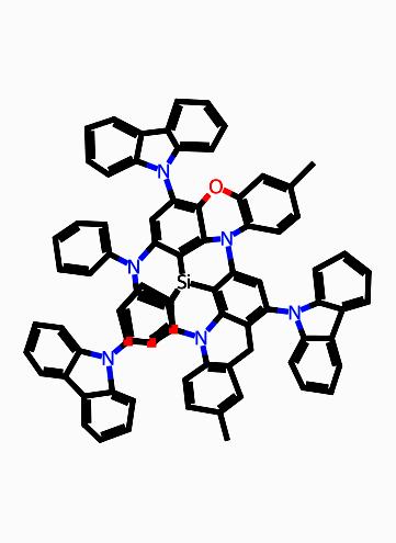 Cc1ccc2c(c1)Cc1c(-n3c4ccccc4c4ccccc43)cc3c4c1N2c1cc(-n2c5ccccc5c5ccccc52)cc2c1[Si]4(c1ccccc1)c1c(cc(-n4c5ccccc5c5ccccc54)c4c1N3c1ccc(C)cc1O4)N2c1ccccc1